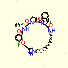 CC(C)C[C@H]1NC(=O)c2cccc(F)c2OCc2cn(nn2)CCCCCCCCNC(=O)[C@H](Cc2ccccc2)N(C)C(=O)[C@H]2CCCN2C1=O